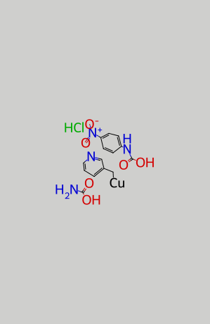 Cl.NC(=O)O.O=C(O)Nc1ccc([N+](=O)[O-])cc1.[Cu][CH2]c1cccnc1